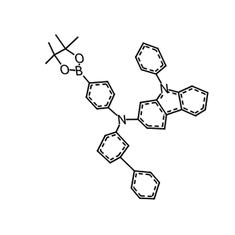 CC1(C)OB(c2ccc(N(c3cccc(-c4ccccc4)c3)c3ccc4c5ccccc5n(-c5ccccc5)c4c3)cc2)OC1(C)C